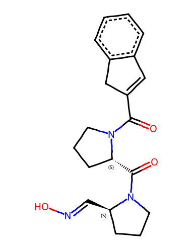 O=C([C@@H]1CCCN1C(=O)C1=Cc2ccccc2C1)N1CCC[C@H]1C=NO